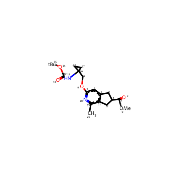 COC(=O)C1Cc2cc(OCC3(NC(=O)OC(C)(C)C)CC3)nc(C)c2C1